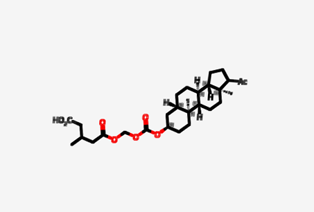 CC(=O)C1CC[C@H]2[C@@H]3CC[C@H]4C[C@H](OC(=O)OCOC(=O)CC(C)CC(=O)O)CC[C@]4(C)[C@H]3CC[C@]12C